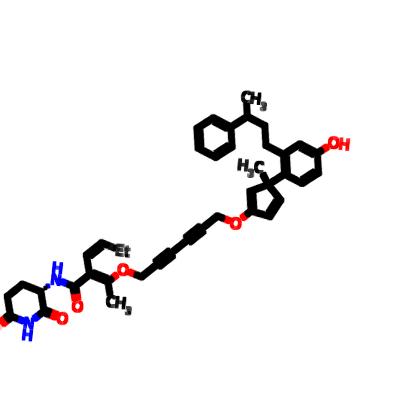 CC/C=C\C(C(=O)N[C@H]1CCC(=O)NC1=O)=C(\C)OCC#CC#CCOC1=CC(C)(c2ccc(O)cc2CCC(C)c2ccccc2)C=C1